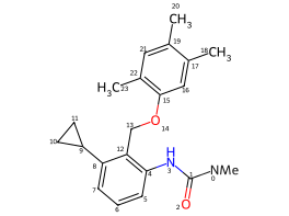 CNC(=O)Nc1cccc(C2CC2)c1COc1cc(C)c(C)cc1C